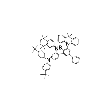 CC(C)(C)c1ccc(N(c2ccc(C(C)(C)C)cc2)c2ccc3c(c2)N(c2ccc4c(c2)C(C)(C)CCC4(C)C)B2c4cccc5c4N(c4ccccc4C5(C)C)c4cc(-c5ccccc5)cc-3c42)cc1